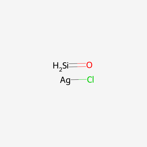 O=[SiH2].[Cl][Ag]